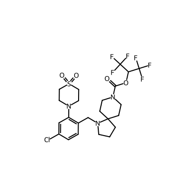 O=C(OC(C(F)(F)F)C(F)(F)F)N1CCC2(CCCN2Cc2ccc(Cl)cc2N2CCS(=O)(=O)CC2)CC1